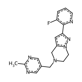 Cc1ncc(CN2CCn3nc(-c4ncccc4F)cc3C2)cn1